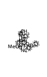 COC(=O)C1(Oc2c(F)c(Oc3cc(C#N)ccc3OCc3ccccc3)nc(Oc3ccccc3C3NCCN3C)c2F)CCCC1